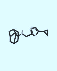 c1nc(CNC23CC4CC(CC(C4)C2)C3)sc1C1CC1